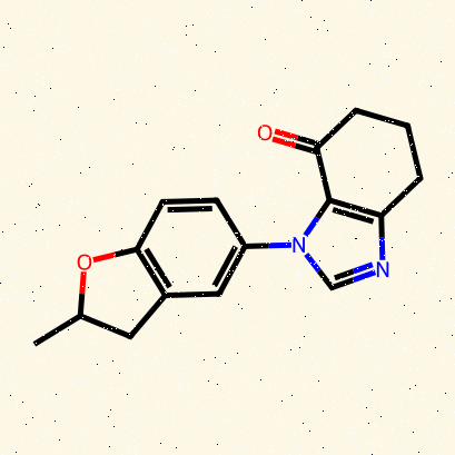 CC1Cc2cc(-n3cnc4c3C(=O)CCC4)ccc2O1